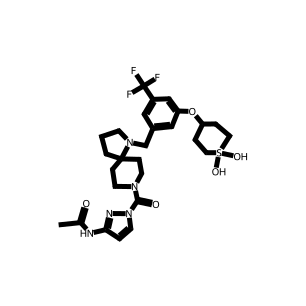 CC(=O)Nc1ccn(C(=O)N2CCC3(CCCN3Cc3cc(OC4CCS(O)(O)CC4)cc(C(F)(F)F)c3)CC2)n1